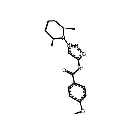 COc1ccc(C(=O)[N-]c2c[n+](N3[C@H](C)CCC[C@@H]3C)no2)cc1